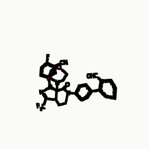 N#Cc1cc(N2N=C(C(F)(F)F)C3CCN(c4ccc(-c5ccccc5C=O)cc4)C(=O)C32N2CCOCC2)ccc1F